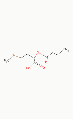 CCCC(=O)OC(CCSC)C(=O)O